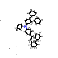 c1ccc(-c2ccc(N(c3ccccc3)c3ccc(-c4cc5ccccc5c5ccccc45)cc3)cc2-c2ccccc2)cc1